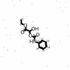 CCOC(=O)C(O)OC(=O)Nc1ccccc1